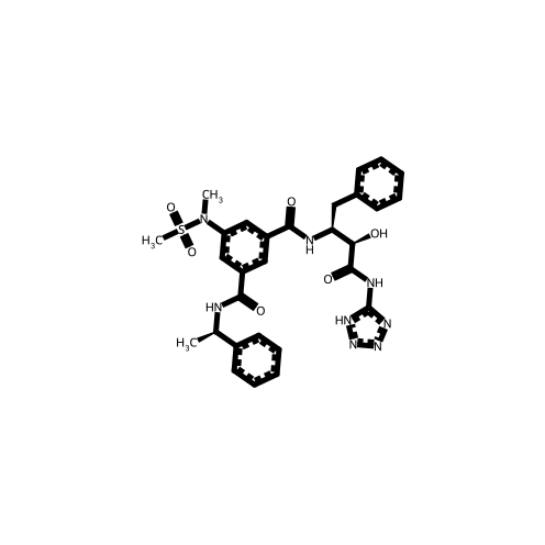 C[C@@H](NC(=O)c1cc(C(=O)N[C@@H](Cc2ccccc2)[C@@H](O)C(=O)Nc2nnn[nH]2)cc(N(C)S(C)(=O)=O)c1)c1ccccc1